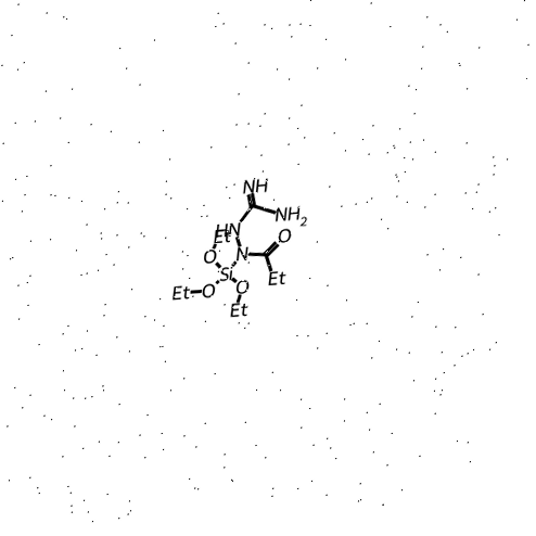 CCO[Si](OCC)(OCC)N(NC(=N)N)C(=O)CC